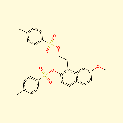 COc1ccc2ccc(OS(=O)(=O)c3ccc(C)cc3)c(CCOS(=O)(=O)c3ccc(C)cc3)c2c1